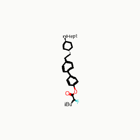 CCCCCCC[C@H]1CC[C@H](CCc2ccc(-c3ccc(OC(=O)C(F)C(C)CC)cc3)cc2)CC1